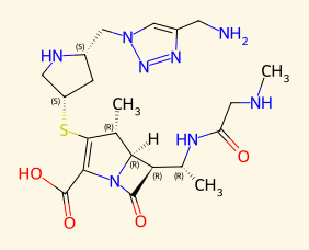 CNCC(=O)N[C@H](C)[C@H]1C(=O)N2C(C(=O)O)=C(S[C@@H]3CN[C@H](Cn4cc(CN)nn4)C3)[C@H](C)[C@@H]12